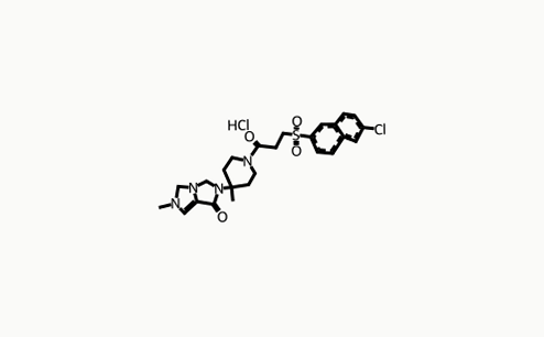 CN1C=C2C(=O)N(C3(C)CCN(C(=O)CCS(=O)(=O)c4ccc5cc(Cl)ccc5c4)CC3)CN2C1.Cl